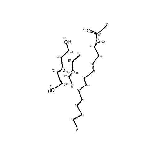 CCCCCCCCCCCCOC(C)=O.CCOCC.OCCOCCO